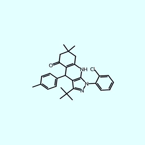 Cc1ccc(C2C3=C(CC(C)(C)CC3=O)Nc3c2c(C(C)(C)C)nn3-c2ccccc2Cl)cc1